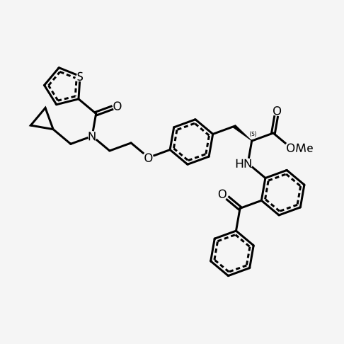 COC(=O)[C@H](Cc1ccc(OCCN(CC2CC2)C(=O)c2cccs2)cc1)Nc1ccccc1C(=O)c1ccccc1